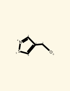 [O]Cc1cnsc1